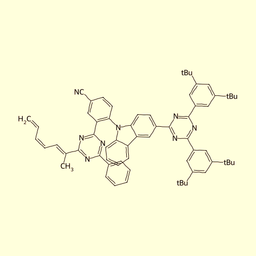 C=C/C=C\C=C(/C)c1nc(-c2ccccc2)nc(-c2cc(C#N)ccc2-n2c3ccccc3c3cc(-c4nc(-c5cc(C(C)(C)C)cc(C(C)(C)C)c5)nc(-c5cc(C(C)(C)C)cc(C(C)(C)C)c5)n4)ccc32)n1